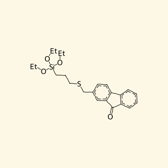 CCO[Si](CCCSCc1ccc2c(c1)C(=O)c1ccccc1-2)(OCC)OCC